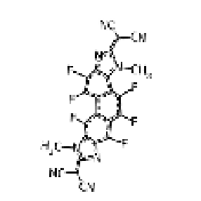 Cn1c(=C(C#N)C#N)nc2c(F)c3c(F)c(F)c4c(c(F)c(F)c5nc(=C(C#N)C#N)n(C)c54)c3c(F)c21